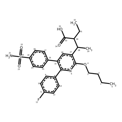 CCCCOc1nc(-c2ccc(F)cc2)c(-c2ccc(S(N)(=O)=O)cc2)cc1C(C)C(CC)C(=O)O